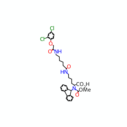 COC(=O)N(C(CCCCNC(=O)CCCCCNC(=O)COc1ccc(Cl)cc1Cl)C(=O)O)C1c2ccccc2-c2ccccc21